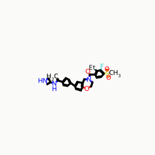 C=C(NC1CNC1)c1ccc(-c2ccc3c(c2)CN(C(=O)c2ccc(S(C)(=O)=O)c(F)c2CC)CCO3)cc1